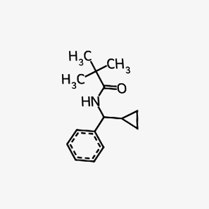 CC(C)(C)C(=O)NC(c1ccccc1)C1CC1